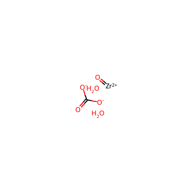 O.O.O=C([O-])[O-].[O]=[Zr+2]